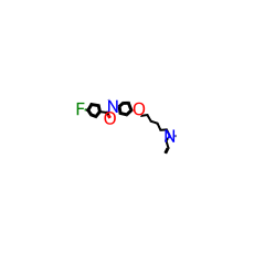 C=CCN(C)CCCCCCOc1ccc(N(C)C(=O)c2ccc(F)cc2)cc1